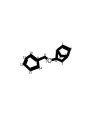 C1=CC2CC1CC2OCc1ccccc1